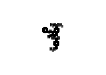 COc1ccc(C(=O)Nc2nc3ccc(N(C)C)cc3c(/N=C/c3ccccc3)c2C#N)cc1